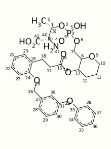 C[C@H](OP(=O)(O)OCC1OCCCC1OC(=O)CCc1ccccc1OCc1cccc(Oc2ccccc2)c1)[C@H](N)C(=O)O